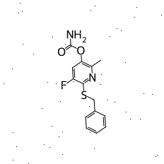 Cc1nc(SCc2ccccc2)c(F)cc1OC(N)=O